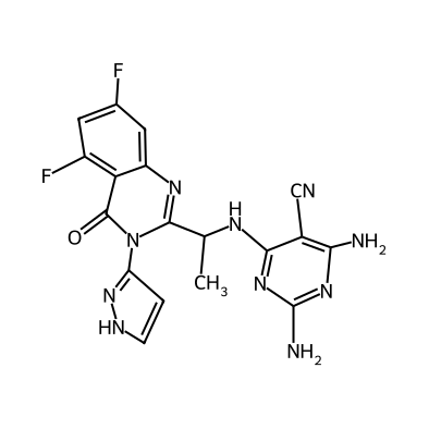 CC(Nc1nc(N)nc(N)c1C#N)c1nc2cc(F)cc(F)c2c(=O)n1-c1cc[nH]n1